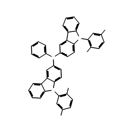 Fc1ccc(F)c(-n2c3ccccc3c3cc(N(c4ccccc4)c4ccc5c(c4)c4ccccc4n5-c4cc(F)ccc4F)ccc32)c1